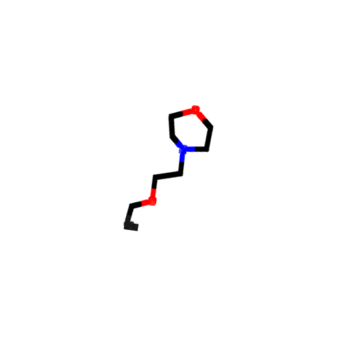 CC(C)(C)COCCN1CCOCC1